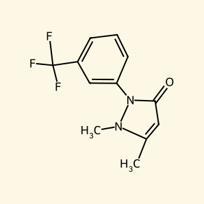 Cc1cc(=O)n(-c2cccc(C(F)(F)F)c2)n1C